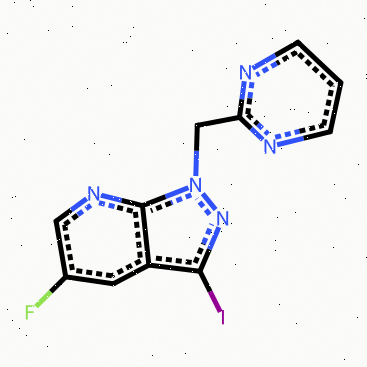 Fc1cnc2c(c1)c(I)nn2Cc1ncccn1